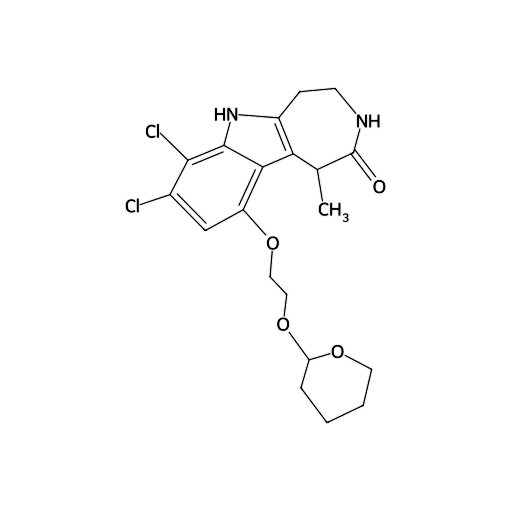 CC1C(=O)NCCc2[nH]c3c(Cl)c(Cl)cc(OCCOC4CCCCO4)c3c21